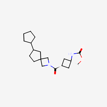 O=C1N[C@]2(CO1)C[C@H](C(=O)N1CC3(CCC(C4CCCC4)C3)C1)C2